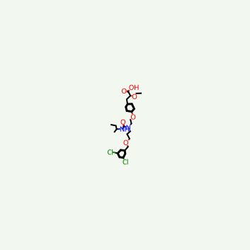 CCOC(Cc1ccc(OCCN(CCCOCc2cc(Cl)cc(Cl)c2)C(=O)NC(C)CC)cc1)C(=O)O